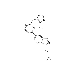 Cn1nccc1Nc1nccc(-c2ccn3c(CCC4CC4)nnc3c2)n1